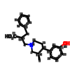 C[C@H]1CN(C[C@H](Cc2ccccc2)C(=O)O)CCC1c1cccc(O)c1